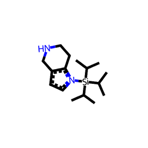 CC(C)[Si](C(C)C)(C(C)C)n1ccc2c1CCNC2